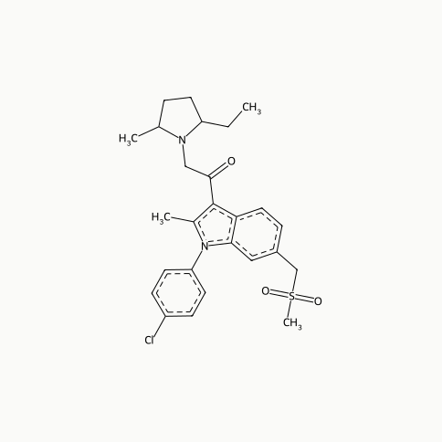 CCC1CCC(C)N1CC(=O)c1c(C)n(-c2ccc(Cl)cc2)c2cc(CS(C)(=O)=O)ccc12